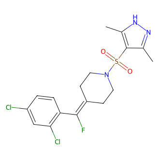 Cc1n[nH]c(C)c1S(=O)(=O)N1CCC(=C(F)c2ccc(Cl)cc2Cl)CC1